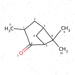 CC1CC2CC(C1=O)C2(C)C